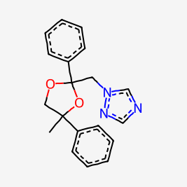 CC1(c2ccccc2)COC(Cn2cncn2)(c2ccccc2)O1